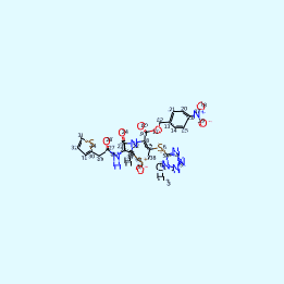 Cn1nnnc1SC1=C(C(=O)OCc2ccc([N+](=O)[O-])cc2)N2C(=O)C(NC(=O)Cc3cccs3)[C@@H]2[S+]([O-])C1